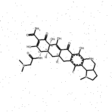 CN(C)CC(=O)N[C@@H]1C(O)=C(C(N)=O)C(=O)[C@@]2(O)C(O)=C3C(=O)c4c(O)c5c(c(F)c4C[C@H]3C[C@@H]12)C1C(CCN1C)CN5